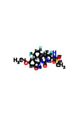 CCOc1cc(-c2c(F)cc(F)cc2F)c2c(N3CC[C@H]4N(C[C@@H](NS(=O)(=O)CC)C4(F)F)C3=O)noc2c1